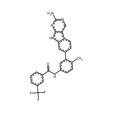 Cc1ccc(NC(=O)c2cccc(C(F)(F)F)c2)cc1-c1ccc2c(c1)[nH]c1nc(N)ncc12